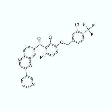 O=C(c1ccc2ncc(-c3cccnc3)nc2c1)c1c(F)ccc(OCc2ccc(C(F)(F)F)c(Cl)c2)c1Cl